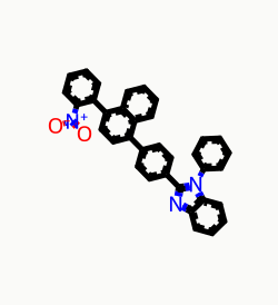 O=[N+]([O-])c1ccccc1-c1ccc(-c2ccc(-c3nc4ccccc4n3-c3ccccc3)cc2)c2ccccc12